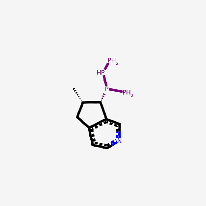 C[C@H]1Cc2ccncc2[C@H]1P(P)PP